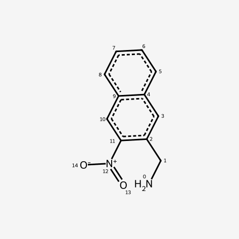 NCc1cc2ccccc2cc1[N+](=O)[O-]